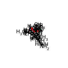 CC(C)(C)OC(=O)C(C(=O)N[C@@H](Cc1cc(F)cc(F)c1)c1nc(C#CC(C)(C)S(C)(=O)=O)ccc1-c1ccc(Cl)c2c(N(C(=O)NCCNC(=N)N)S(C)(=O)=O)nn(CC(F)(F)F)c12)(C(=O)OC(C)(C)C)n1nc(C(F)(F)F)c2c1C(F)(F)[C@@H]1C[C@H]21